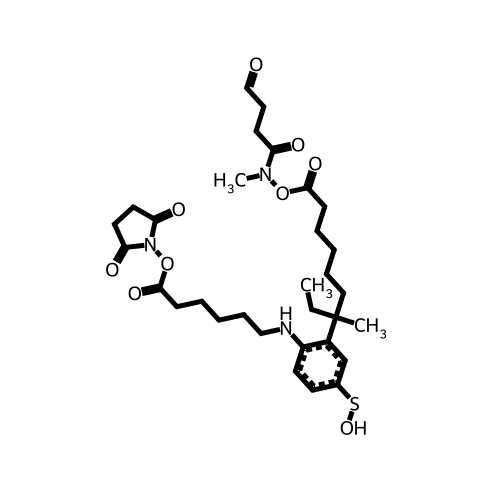 CCC(C)(CCCCCC(=O)ON(C)C(=O)CCC=O)c1cc(SO)ccc1NCCCCCC(=O)ON1C(=O)CCC1=O